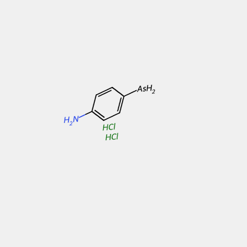 Cl.Cl.Nc1ccc([AsH2])cc1